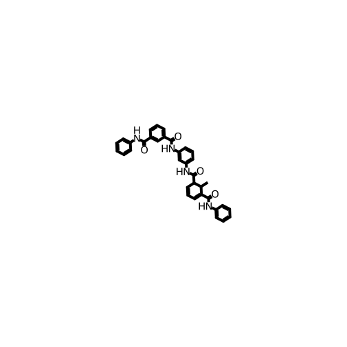 CC1C(C(=O)Nc2ccccc2)=CC=CC1C(=O)Nc1cccc(NC(=O)c2cccc(C(=O)Nc3ccccc3)c2)c1